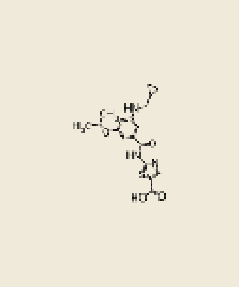 CC(C)Oc1cc(NCC2CC2)cc(C(=O)Nc2ncc(C(=O)O)s2)c1